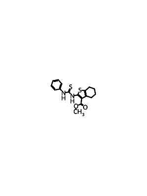 COC(=O)c1c(NC(=S)Nc2ccccc2)sc2c1CCCC2